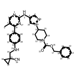 Cc1cnc(Nc2cnn(C3CCN(C(=O)OCc4ccccc4)CC3)c2)nc1-c1ccc(NCC2(C#N)CC2)cc1